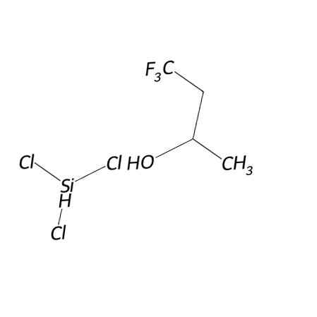 CC(O)CC(F)(F)F.Cl[SiH](Cl)Cl